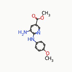 COC(=O)c1cnc(Nc2ccc(OC)cc2)c(N)c1